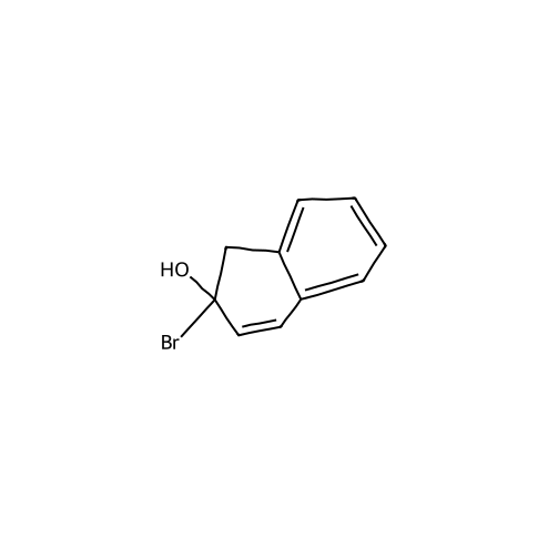 OC1(Br)C=Cc2ccccc2C1